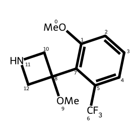 COc1cccc(C(F)(F)F)c1C1(OC)CNC1